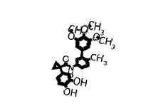 COc1cc(-c2cc(NC(=O)C3(c4ccc(O)c(O)c4)CC3)ccc2C)cc(OC)c1OC